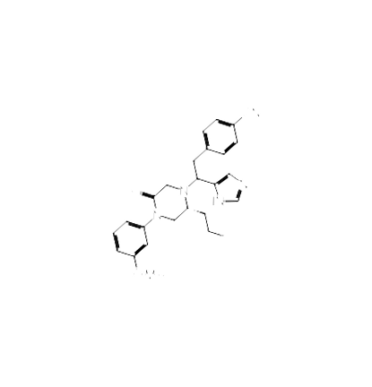 COc1cccc(N2C[C@H](CCF)N(C(Cc3ccc(C#N)cc3)c3cnc[nH]3)CC2=O)c1